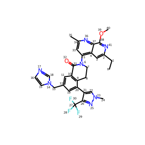 CCc1cc2c(N3CCc4c(cc(Cn5ccnc5)cc4-c4cn(C)nc4C(F)(F)F)C3=O)cc(C)nc2c(OC)n1